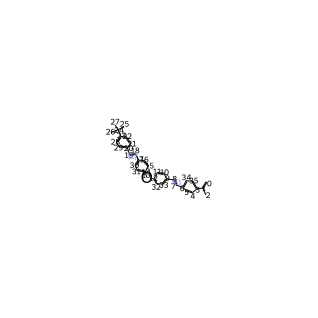 C=C(C)c1ccc(/C=C/c2ccc(Oc3ccc(/C=C/c4ccc(C(C)(C)C)cc4)cc3)cc2)cc1